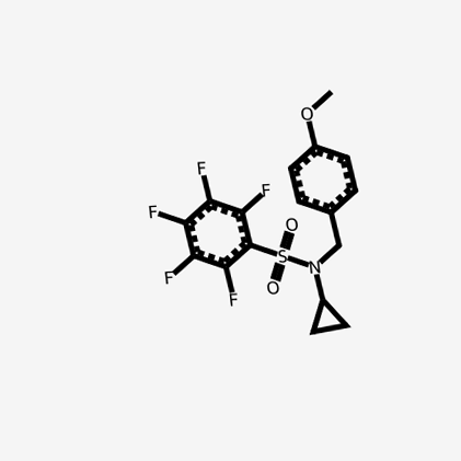 COc1ccc(CN(C2CC2)S(=O)(=O)c2c(F)c(F)c(F)c(F)c2F)cc1